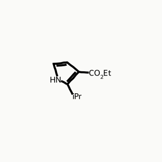 CCOC(=O)c1cc[nH]c1C(C)C